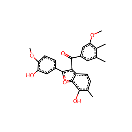 COc1ccc(-c2oc3c(O)c(C)ccc3c2C(=O)c2cc(C)c(C)c(OC)c2)cc1O